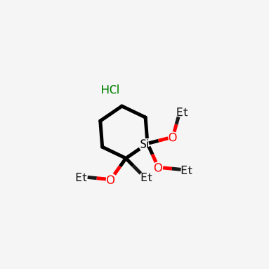 CCOC1(CC)CCCC[Si]1(OCC)OCC.Cl